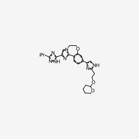 CC(C)c1n[nH]c(-c2cn3c(n2)-c2ccc(-c4c[nH]c(CCOC5CCCCO5)n4)cc2OCC3)n1